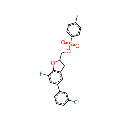 Cc1ccc(S(=O)(=O)OCC2Cc3cc(-c4cccc(Cl)c4)cc(F)c3O2)cc1